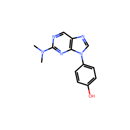 CN(C)c1ncc2ncn(-c3ccc(O)cc3)c2n1